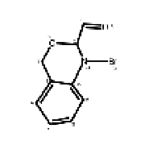 O=CC1OCc2ccccc2N1Br